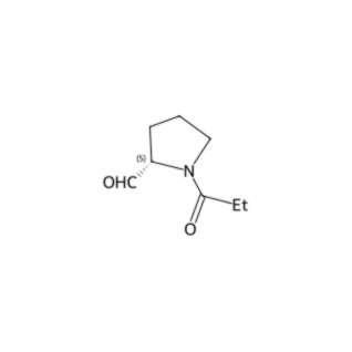 CCC(=O)N1CCC[C@H]1C=O